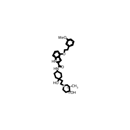 COc1cccc(CCOc2cccc3[nH]c(C(=O)NC4CCC(O)(CCN5CC[C@H](O)[C@@H](C)C5)CC4)cc23)c1